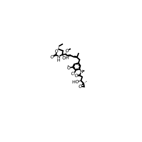 CC[C@@H]1C[C@](O)([C@@H](/C=C/C=C(\C)Cc2cc(OC)c(Cl)c(N(C)C(=O)C[C@H](O)[C@@]3(C)CO3)c2)OC)NC(=O)O1